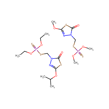 CCOP(=S)(OCC)SCn1nc(OC(C)C)sc1=O.COc1nn(CSP(=S)(OC)OC)c(=O)s1